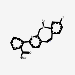 CNC(=O)c1ccccc1-c1ccc2c(n1)CN(C(C)=O)c1cc(Cl)ccc1/C=C\2